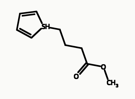 COC(=O)CCC[SH]1C=CC=C1